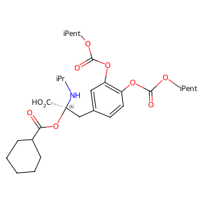 CCCC(C)OC(=O)Oc1ccc(C[C@](NC(C)C)(OC(=O)C2CCCCC2)C(=O)O)cc1OC(=O)OC(C)CCC